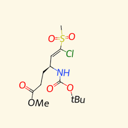 COC(=O)CC[C@@H](/C=C(\Cl)S(C)(=O)=O)NC(=O)OC(C)(C)C